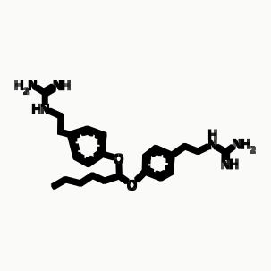 CCCCCC(Oc1ccc(CCNC(=N)N)cc1)Oc1ccc(CCNC(=N)N)cc1